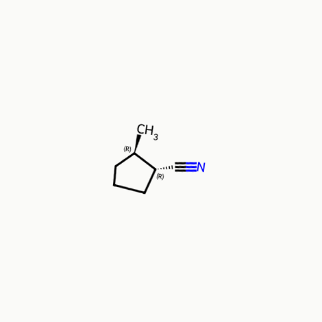 C[C@@H]1CCC[C@H]1C#N